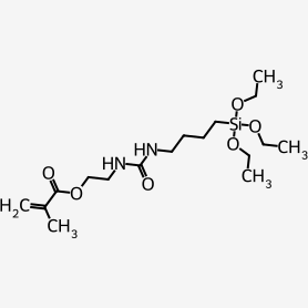 C=C(C)C(=O)OCCNC(=O)NCCCC[Si](OCC)(OCC)OCC